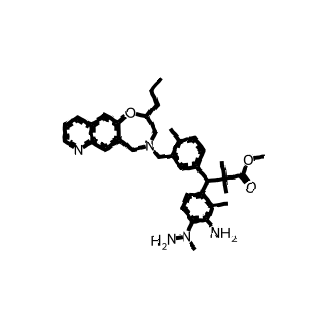 CCCC1CN(Cc2cc(C(c3ccc(N(C)N)c(N)c3C)C(C)(C)C(=O)OC)ccc2C)Cc2cc3ncccc3cc2O1